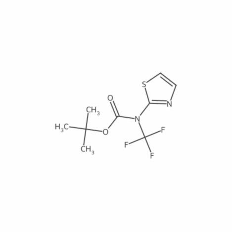 CC(C)(C)OC(=O)N(c1nccs1)C(F)(F)F